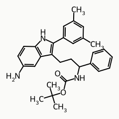 Cc1cc(C)cc(-c2[nH]c3ccc(N)cc3c2CCC(NC(=O)OC(C)(C)C)c2ccccc2)c1